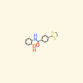 O=C(Nc1ccccc1O)c1ccc(C2SCCS2)cc1